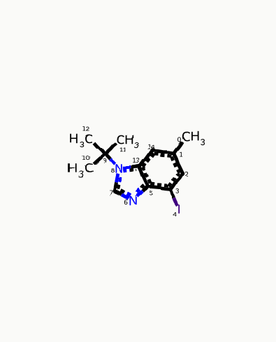 Cc1cc(I)c2ncn(C(C)(C)C)c2c1